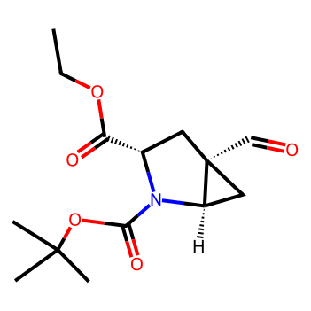 CCOC(=O)[C@@H]1C[C@@]2(C=O)C[C@H]2N1C(=O)OC(C)(C)C